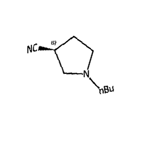 CCCCN1CC[C@H](C#N)C1